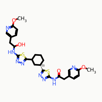 COc1ccc(CC(=O)Nc2nnc([C@H]3CCCC(c4nnc(NC(O)Cc5ccc(OC)nc5)s4)C3)s2)cn1